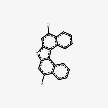 Clc1cc2oc3cc(Br)c4ccccc4c3c2c2ccccc12